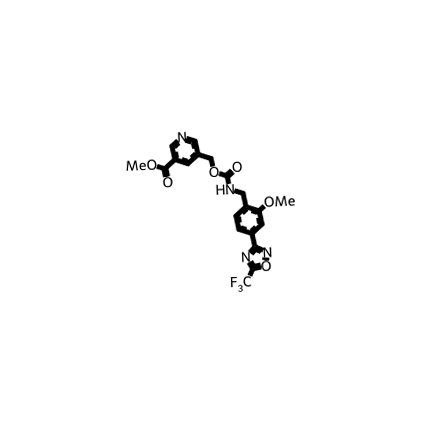 COC(=O)c1cncc(COC(=O)NCc2ccc(-c3noc(C(F)(F)F)n3)cc2OC)c1